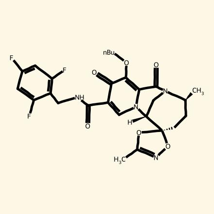 CCCCOc1c2n(cc(C(=O)NCc3c(F)cc(F)cc3F)c1=O)[C@@H]1CN(C2=O)[C@@H](C)CC[C@@]12ON=C(C)O2